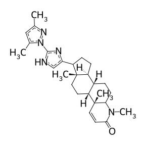 Cc1cc(C)n(-c2nc(C3CC[C@H]4[C@@H]5CCC6N(C)C(=O)C=C[C@]6(C)[C@@H]5CC[C@]34C)c[nH]2)n1